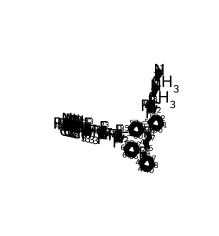 CC#N.CC#N.CC#N.CC#N.CC#N.CC#N.F[B-](F)(F)F.F[B-](F)(F)F.F[B-](F)(F)F.F[B-](F)(F)F.[Pd+2].[Pd+2].c1ccc(P(CCCP(c2ccccc2)c2ccccc2)c2ccccc2)cc1